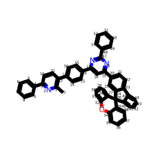 Cc1nc(-c2ccccc2)ccc1-c1ccc(-c2cc(-c3ccc4c(c3)C3(c5ccccc5Oc5ccccc53)c3ccccc3-4)nc(-c3ccccc3)n2)cc1